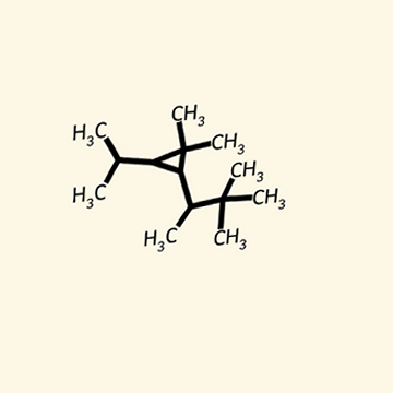 CC(C)C1C(C(C)C(C)(C)C)C1(C)C